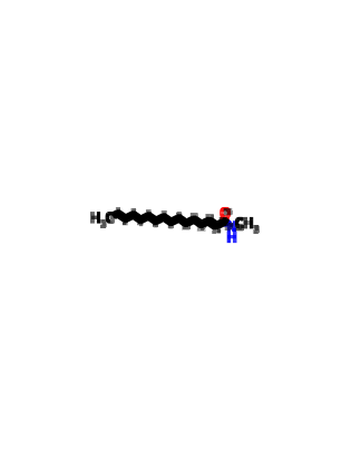 CCCCCCCCCCCCC/C=C/C(=O)NC